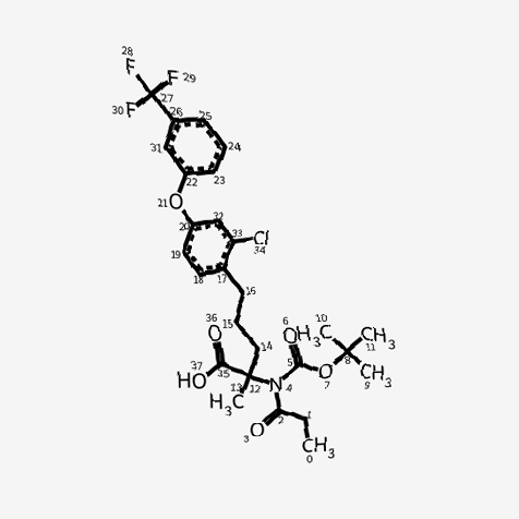 CCC(=O)N(C(=O)OC(C)(C)C)C(C)(CCCc1ccc(Oc2cccc(C(F)(F)F)c2)cc1Cl)C(=O)O